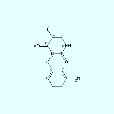 N#Cc1cccc(Cn2c(=O)[nH]cc(I)c2=O)c1